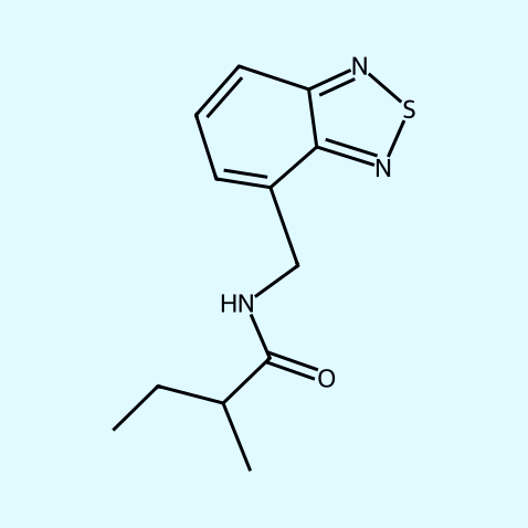 CCC(C)C(=O)NCc1cccc2nsnc12